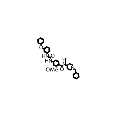 COc1cc(NC(=O)Nc2cccc(Oc3ccccc3)c2)ccc1C(=O)NC1CCN(Cc2ccccc2)CC1